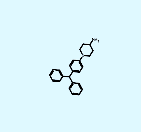 NC1CCN(c2ccc(C(c3ccccc3)c3ccccc3)cc2)CC1